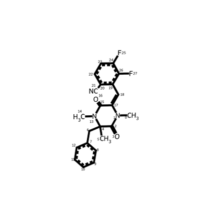 CN1C(=O)C(C)(Cc2ccccc2)N(C)C(=O)C1=Cc1c(C#N)ccc(F)c1F